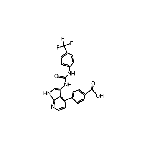 O=C(Nc1ccc(C(F)(F)F)cc1)Nc1c[nH]c2nccc(-c3ccc(C(=O)O)cc3)c12